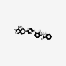 C[C@@H]1OCC2(CCN(c3cnc(Sc4cccc(NC(=O)c5ccccc5C(=O)O)c4Cl)cn3)CC2)[C@@H]1N